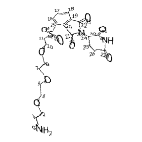 NCCOCCOCCOCCS(=O)(=O)c1cccc2c1C(=O)N(C1CCC(=O)NC1=O)C2=O